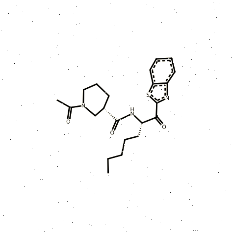 CCCCC[C@H](NC(=O)[C@H]1CCCN(C(C)=O)C1)C(=O)c1nc2ccccc2s1